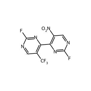 O=[N+]([O-])c1cnc(F)nc1-c1nc(F)n[c]c1C(F)(F)F